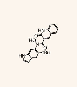 CC(C)(C)c1cc2cc[nH]c2cc1N(O)C(=O)c1cc2ccccc2[nH]c1=O